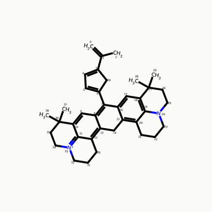 C=C(C)C1=CC=C(C2=c3cc4c5c(c3Cc3c2cc2c6c3CCCN6CCC2(C)C)CCC[N+]=5CCC4(C)C)C1